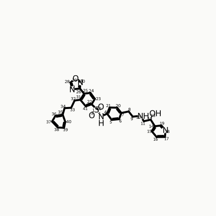 O=S(=O)(Nc1ccc(CCNC[C@H](O)c2cccnc2)cc1)c1ccc(-c2ncon2)c(CCCc2ccccc2)c1